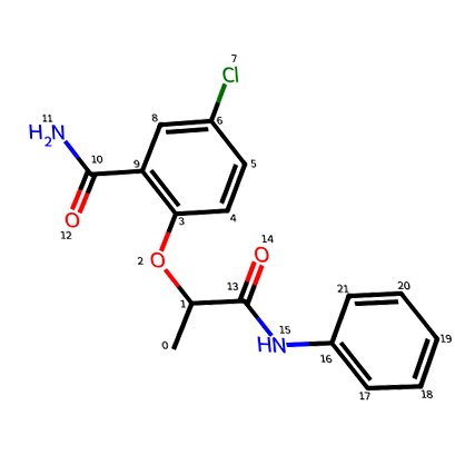 CC(Oc1ccc(Cl)cc1C(N)=O)C(=O)Nc1ccccc1